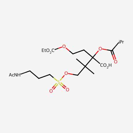 CCOC(=O)OCCC(OC(=O)C(C)C)(C(=O)O)C(C)(C)COS(=O)(=O)CCCNC(C)=O